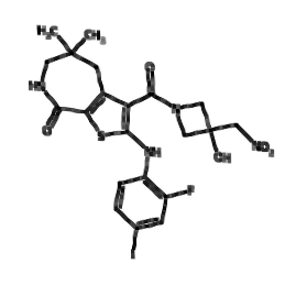 CC1(C)CNC(=O)c2sc(Nc3ccc(I)cc3F)c(C(=O)N3CC(O)(C[N+](=O)[O-])C3)c2C1